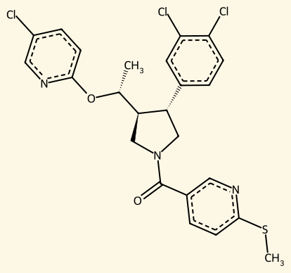 CSc1ccc(C(=O)N2C[C@@H]([C@@H](C)Oc3ccc(Cl)cn3)[C@H](c3ccc(Cl)c(Cl)c3)C2)cn1